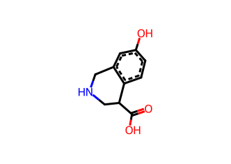 O=C(O)C1CNCc2cc(O)ccc21